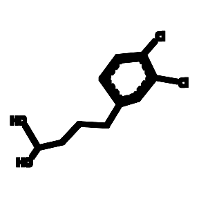 OC(O)CCCc1ccc(Cl)c(Cl)c1